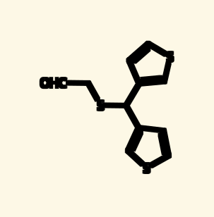 O=CCSC(c1ccsc1)c1ccsc1